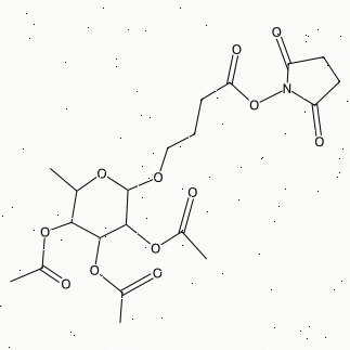 CC(=O)OC1C(C)OC(OCCCC(=O)ON2C(=O)CCC2=O)C(OC(C)=O)C1OC(C)=O